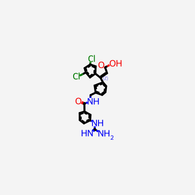 N=C(N)Nc1cccc(C(=O)NCc2cccc(/C(=C/C(=O)O)c3cc(Cl)cc(Cl)c3)c2)c1